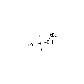 CCCC(C)(C)BC(C)(C)C